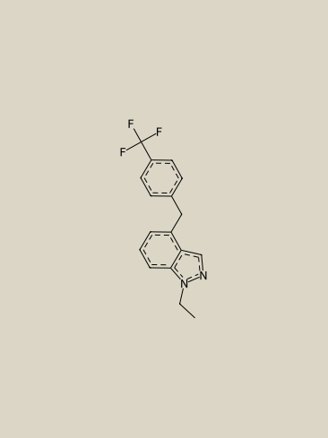 CCn1ncc2c(Cc3ccc(C(F)(F)F)cc3)cccc21